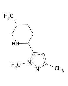 Cc1cc(C2CCC(C)CN2)n(C)n1